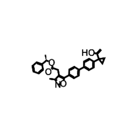 C=C(O)C1(c2ccc(-c3ccc(-c4onc(C)c4CC(=O)O[C@H](C)c4ccccc4)cc3)cc2)CC1